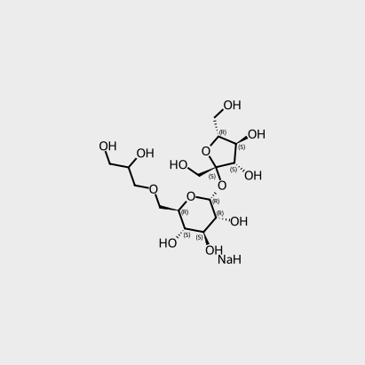 OCC(O)COC[C@H]1O[C@H](O[C@]2(CO)O[C@H](CO)[C@@H](O)[C@@H]2O)[C@H](O)[C@@H](O)[C@@H]1O.[NaH]